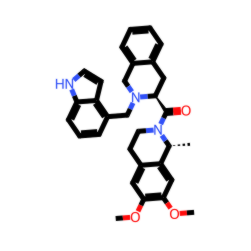 COc1cc2c(cc1OC)[C@@H](C)N(C(=O)[C@@H]1Cc3ccccc3CN1Cc1cccc3[nH]ccc13)CC2